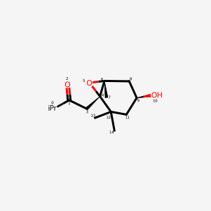 CC(C)C(=O)C[C@@]12O[C@]1(C)C[C@@H](O)CC2(C)C